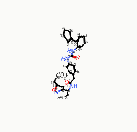 CC(C)CC(NC(=O)Cc1ccc(NC(=O)Nc2ccccc2C2CCCC2)cc1)C1=NOC(CC(=O)O)C1